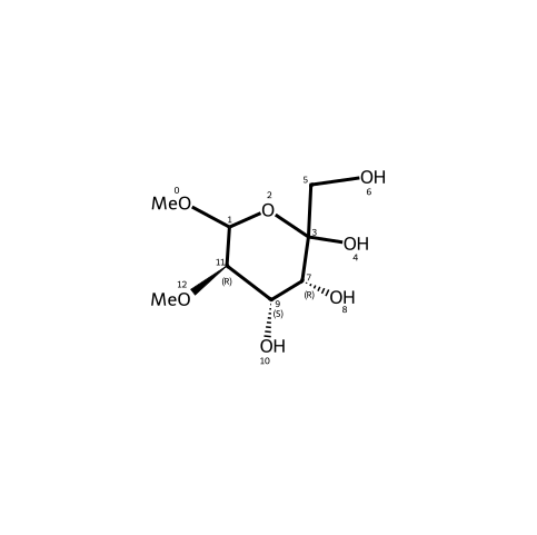 COC1OC(O)(CO)[C@H](O)[C@H](O)[C@H]1OC